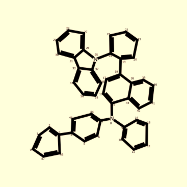 c1ccc(-c2ccc(N(c3ccccc3)c3ccc(-c4ccccc4-n4c5ccccc5c5ccccc54)c4ccccc34)cc2)cc1